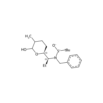 CC[C@@H]([C@@H]1CCC(C)C(O)O1)N(Cc1ccccc1)[S+]([O-])C(C)(C)C